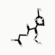 CON=C(C(=O)[N]CC(=O)O)c1csc(N)n1